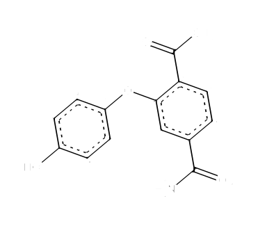 CC(=O)c1ccc(C(N)=O)cc1Oc1ccc(O)cc1